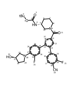 CC(C)(C)OC(=O)N[C@@H]1CCCN(C(=O)c2cc(-c3ccc(C#N)c(F)c3)c(-c3ccc(N4CC[C@@H](O)C4)c(F)c3)s2)C1